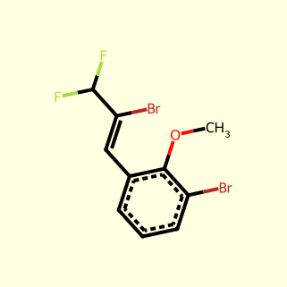 COc1c(Br)cccc1/C=C(\Br)C(F)F